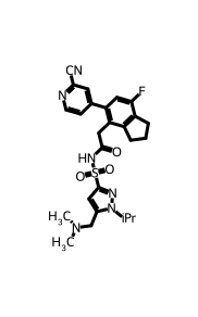 CC(C)n1nc(S(=O)(=O)NC(=O)Cc2c(-c3ccnc(C#N)c3)cc(F)c3c2CCC3)cc1CN(C)C